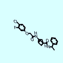 CC(NC(=O)C12CC(C1)C(NC(=O)COc1ccc(Cl)c(F)c1)C2)c1ccccc1